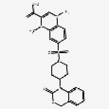 CN1C=C(C(=O)C=O)N(C)c2cc(S(=O)(=O)N3CCC(N4C(=O)OCc5ccccc54)CC3)ccc21